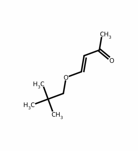 CC(=O)C=COCC(C)(C)C